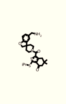 CC(C)Sc1sc(C(=O)N2CCC3(CC2)COc2ccc(CN)cc23)c2c1C(=O)CC(C)(C)C2